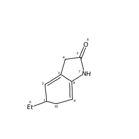 CCC1C=C2CC(=O)NC2=CC1